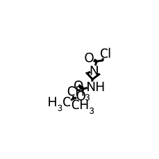 CC(C)(C)OC(=O)NC1CN(C(=O)CCl)C1